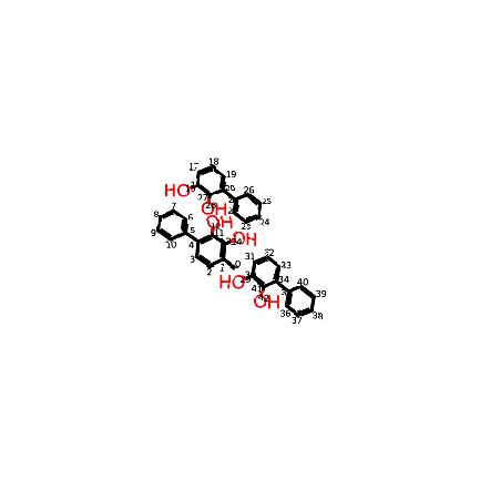 Cc1ccc(-c2ccccc2)c(O)c1O.Oc1cccc(-c2ccccc2)c1O.Oc1cccc(-c2ccccc2)c1O